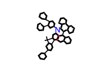 CC1(C)c2cc(-c3ccccc3)ccc2-c2ccc(N(c3ccc(-c4ccccc4)c(-c4ccccc4)c3)c3c(-c4cccc5ccccc45)c4ccccc4c4ccccc34)cc21